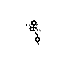 CC1=NOC(NCCc2ccc(Cl)cc2)C1(C(N)=O)c1ccccc1Cl